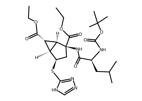 CCOC(=O)[C@H]1[C@H]2[C@@H]1[C@](NC(=O)[C@H](CC(C)C)NC(=O)OC(C)(C)C)(C(=O)OCC)C[C@H]2Sc1nnc[nH]1